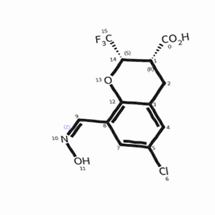 O=C(O)[C@@H]1Cc2cc(Cl)cc(/C=N\O)c2O[C@@H]1C(F)(F)F